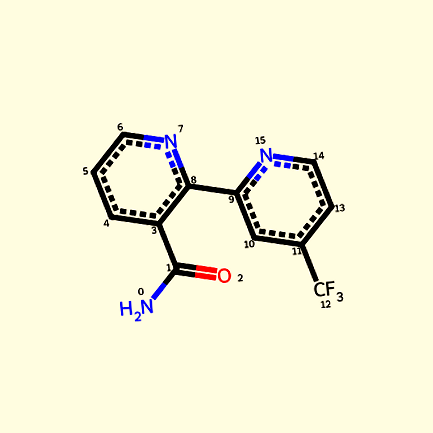 NC(=O)c1cccnc1-c1cc(C(F)(F)F)ccn1